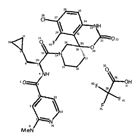 CNc1cc(C(=O)N[C@@H](CC2CC2)C(=O)N2CCC[C@@]3(C2)OC(=O)Nc2ccc(Cl)c(F)c23)ccn1.O=C(O)C(F)(F)F